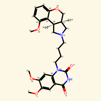 COc1cc2c(=O)[nH]c(=O)n(CCCCN3C[C@@H]4COc5cccc(OC)c5[C@@H]4C3)c2cc1OC